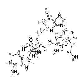 Nc1nc2c(ncn2[C@@H]2SC[C@@](F)(CCO)[C@H]2OP(=O)(S)OC[C@@]23CO[C@@H]([C@H](n4cnc5c(N)ncnc54)O2)[C@@H]3O)c(=O)[nH]1